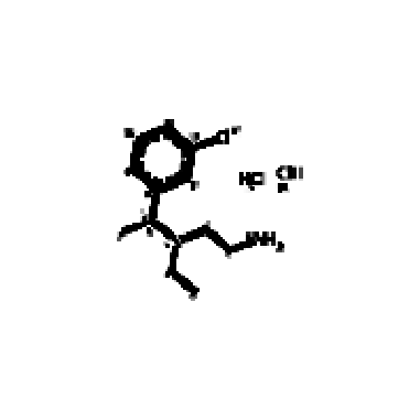 CCN(CCN)[C@@H](C)c1cccc(Cl)c1.Cl.Cl